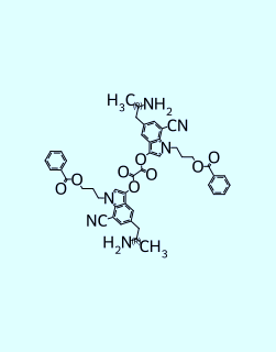 C[C@@H](N)Cc1cc(C#N)c2c(c1)c(OC(=O)C(=O)Oc1cn(CCCOC(=O)c3ccccc3)c3c(C#N)cc(C[C@@H](C)N)cc13)cn2CCCOC(=O)c1ccccc1